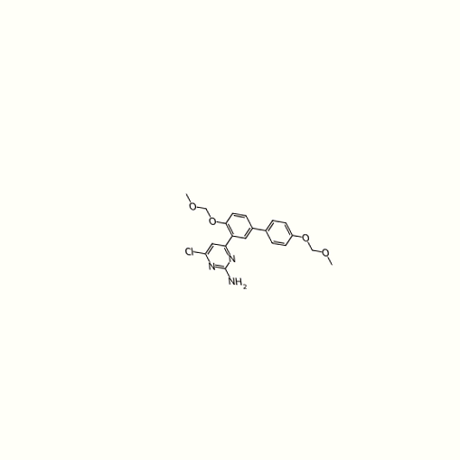 COCOc1ccc(-c2ccc(OCOC)c(-c3cc(Cl)nc(N)n3)c2)cc1